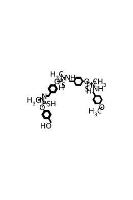 COC1C=CC(CNN(C)[PH](=S)OC2C=CC(CNN(C)[PH](=S)Oc3ccc(/C=N/N(C)P(S)Oc4ccc(CO)cc4)cc3)CC2)CC1